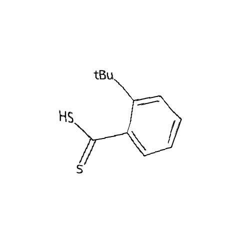 CC(C)(C)c1ccccc1C(=S)S